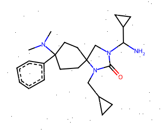 CN(C)C1(c2ccccc2)CCC2(CC1)CN(C(N)C1CC1)C(=O)N2CC1CC1